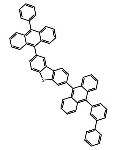 c1ccc(-c2cccc(-c3c4ccccc4c(-c4ccc5c(c4)sc4ccc(-c6c7ccccc7c(-c7ccccc7)c7ccccc67)cc45)c4ccccc34)c2)cc1